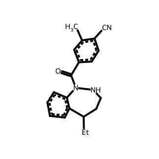 CCC1CCNN(C(=O)c2ccc(C#N)c(C)c2)c2ccccc21